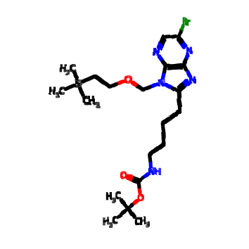 CC(C)(C)OC(=O)NCCCCc1nc2nc(Br)cnc2n1COCC[Si](C)(C)C